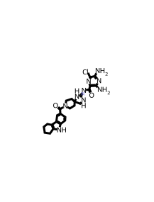 Nc1nc(N)c(C(=O)/N=C2\NCC3(CCN(C(=O)c4ccc5[nH]c6c(c5c4)CCCC6)CC3)N2)nc1Cl